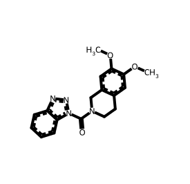 COc1cc2c(cc1OC)CN(C(=O)n1nnc3ccccc31)CC2